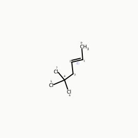 C/C=C/CC(Cl)(Cl)Cl